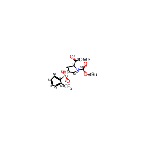 COC(=O)[C@@H]1C[C@@H](S(=O)(=O)c2ccccc2C(F)(F)F)CN1C(=O)OC(C)(C)C